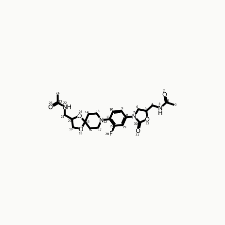 CC(=O)NCC1CN(c2ccc(N3CCC4(CC3)OCC(CNC(C)=O)O4)c(F)c2)C(=O)O1